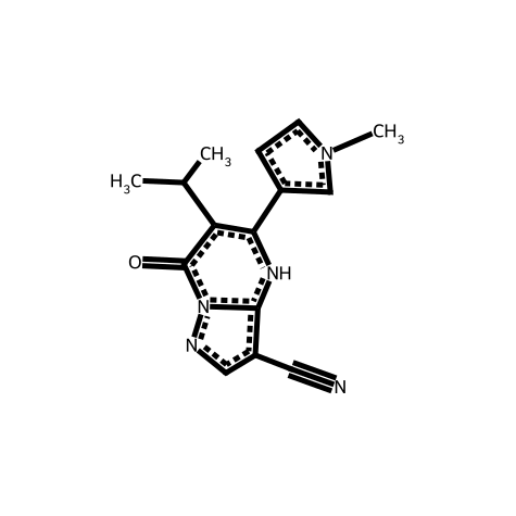 CC(C)c1c(-c2ccn(C)c2)[nH]c2c(C#N)cnn2c1=O